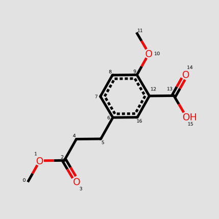 COC(=O)CCc1ccc(OC)c(C(=O)O)c1